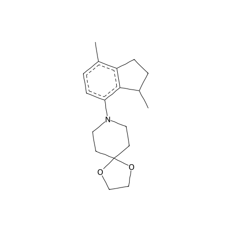 Cc1ccc(N2CCC3(CC2)OCCO3)c2c1CCC2C